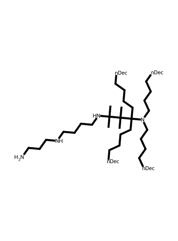 CCCCCCCCCCCCCCN(CCCCCCCCCCCCCC)C(CCCCCCCCCCCCCC)(CCCCCCCCCCCCCC)C(C)(C)C(C)(C)NCCCCNCCCN